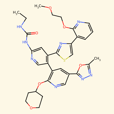 CCNC(=O)Nc1cc(-c2nc(-c3cccnc3OCCOC)cs2)c(-c2cc(-c3nnc(C)o3)cnc2OC2CCOCC2)cn1